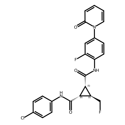 O=C(Nc1ccc(-n2ccccc2=O)cc1F)[C@@H]1[C@@H](CF)[C@@H]1C(=O)Nc1ccc(Cl)cc1